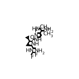 CC(=N)/C(=C(/C)N)c1ccc(NC(=O)[C@H]2NC(/C(=C/N)NC(CF)CF)=C3CC3C2C2CC2)nc1F